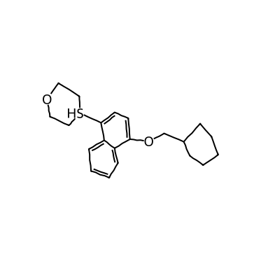 c1ccc2c([SH]3CCOCC3)ccc(OCC3CCCCC3)c2c1